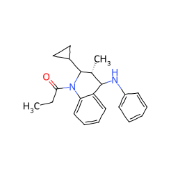 CCC(=O)N1c2ccccc2C(Nc2ccccc2)[C@@H](C)C1C1CC1